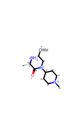 COCCN(C(=O)[C@H](C)N)C1CCN(C)CC1